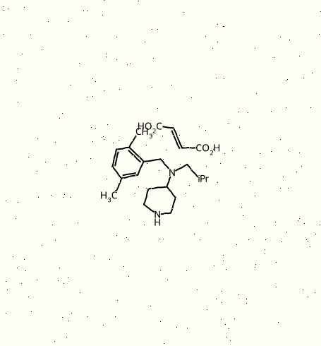 Cc1ccc(C)c(CN(CC(C)C)C2CCNCC2)c1.O=C(O)/C=C/C(=O)O